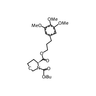 COc1cc(CCCOC(=O)[C@@H]2CCCCN2C(=O)OCC(C)C)cc(OC)c1OC